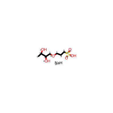 CC(O)C(O)COCCCS(=O)(=O)O.[NaH]